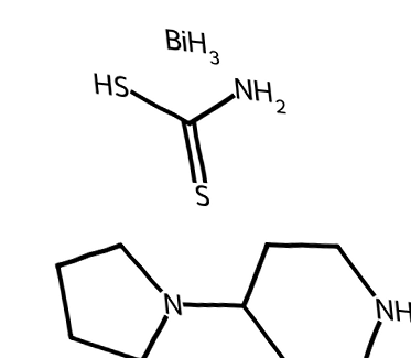 C1CCN(C2CCNCC2)C1.NC(=S)S.[BiH3]